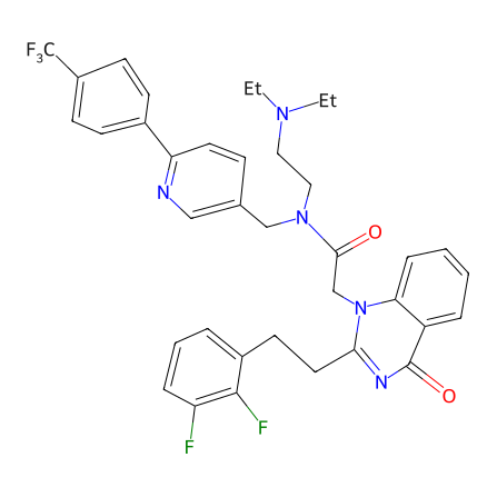 CCN(CC)CCN(Cc1ccc(-c2ccc(C(F)(F)F)cc2)nc1)C(=O)Cn1c(CCc2cccc(F)c2F)nc(=O)c2ccccc21